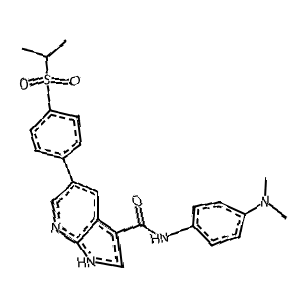 CC(C)S(=O)(=O)c1ccc(-c2cnc3[nH]cc(C(=O)Nc4ccc(N(C)C)cc4)c3c2)cc1